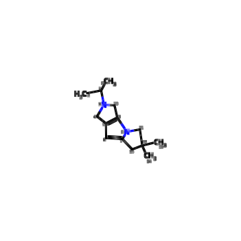 CC(C)N1Cc2cc3n(c2C1)CC(C)(C)C3